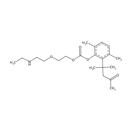 CCNCCOCCOC(=O)Oc1c(C)ccc(C)c1C(C)(C)CC(C)=O